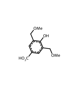 COCc1cc(C(=O)O)cc(COC)c1O